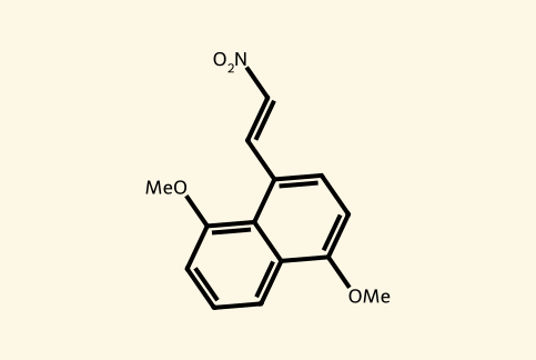 COc1ccc(C=C[N+](=O)[O-])c2c(OC)cccc12